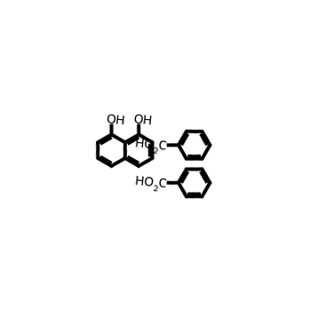 O=C(O)c1ccccc1.O=C(O)c1ccccc1.Oc1cccc2cccc(O)c12